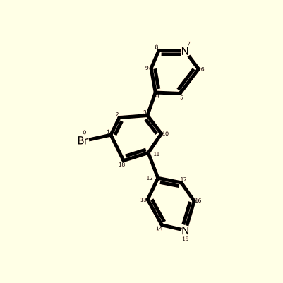 Brc1cc(-c2ccncc2)cc(-c2ccncc2)c1